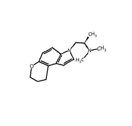 C[C@H](Cn1ccc2c3c(ccc21)OCCC3)N(C)C